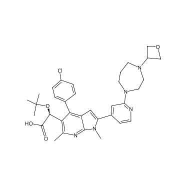 Cc1nc2c(cc(-c3ccnc(N4CCCN(C5COC5)CC4)c3)n2C)c(-c2ccc(Cl)cc2)c1[C@H](OC(C)(C)C)C(=O)O